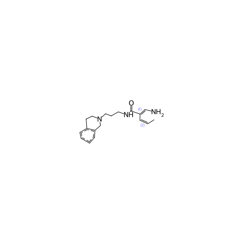 C/C=C\C(=C/N)C(=O)NCCCN1CCc2ccccc2C1